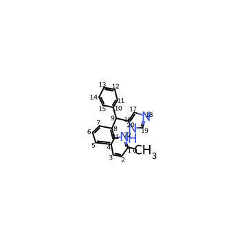 Cc1ccc2cccc(C(c3ccccc3)c3cnc[nH]3)c2n1